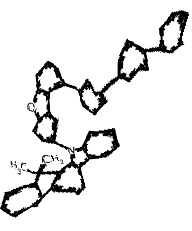 CC1(C)c2ccccc2-c2ccc3c4ccccc4n(-c4ccc5oc6cccc(-c7cccc(-c8ccc(-c9ccccc9)cc8)c7)c6c5c4)c3c21